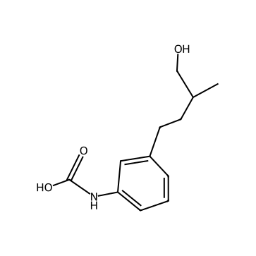 CC(CO)CCc1cccc(NC(=O)O)c1